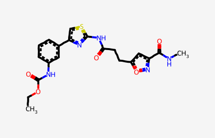 CCOC(=O)Nc1cccc(-c2csc(NC(=O)CCc3cc(C(=O)NC)no3)n2)c1